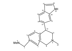 CNCc1ccc2c(c1)CN(C)CC2c1ccc2cc[nH]c2c1